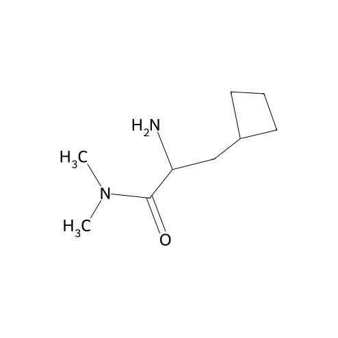 CN(C)C(=O)C(N)CC1CCC1